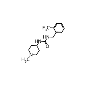 CN1CCC(NC(=O)NCc2ccccc2C(F)(F)F)CC1